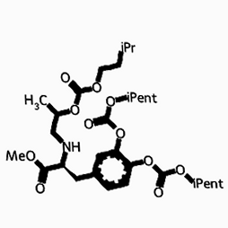 CCCC(C)OC(=O)Oc1ccc(C[C@H](NCC(C)OC(=O)OCCC(C)C)C(=O)OC)cc1OC(=O)OC(C)CCC